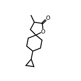 CC1CC2(CCC(C3CC3)CC2)OC1=O